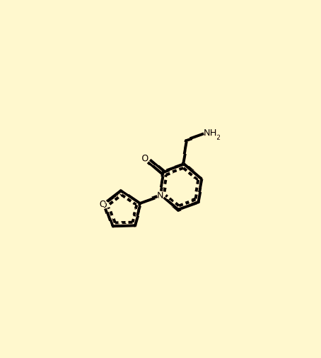 NCc1cccn(-c2ccoc2)c1=O